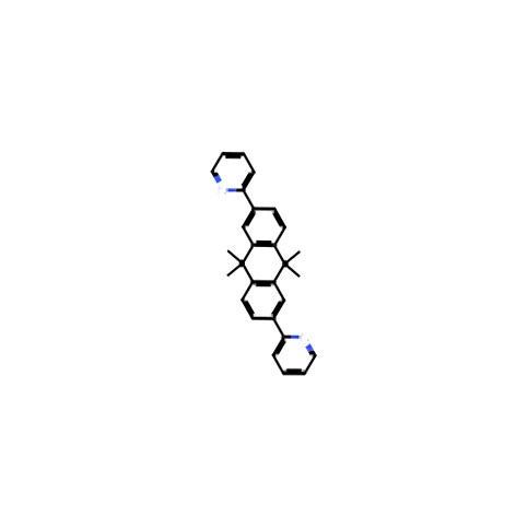 CC1(C)c2ccc(-c3ccccn3)cc2C(C)(C)c2ccc(-c3ccccn3)cc21